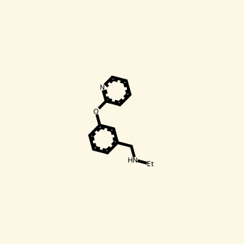 CCNCc1cccc(Oc2ccccn2)c1